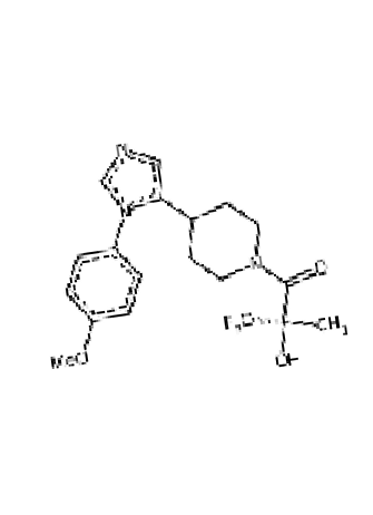 COc1ccc(-n2cncc2C2CCN(C(=O)[C@@](C)(O)C(F)(F)F)CC2)cc1